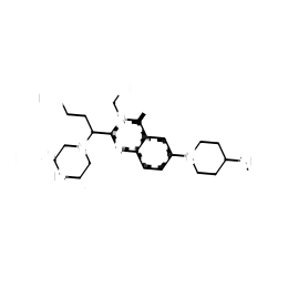 CCCC(c1nc2ccc(N3CCC(NC)CC3)cc2c(=O)n1CC)N1C[C@@H](C)N[C@@H](C)C1